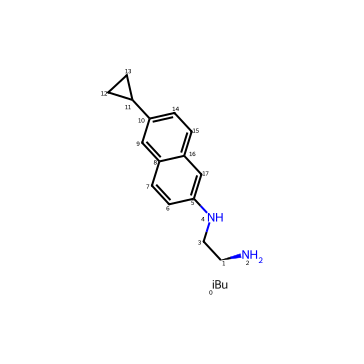 CC[C@H](C)[C@H](N)CNc1ccc2cc(C3CC3)ccc2c1